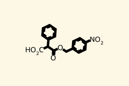 O=C(O)C(C(=O)OCc1ccc([N+](=O)[O-])cc1)c1ccccc1